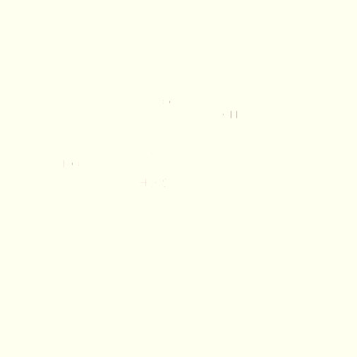 CC(=CC(=Cc1ccccc1)S(=O)(=O)O)C(=O)OCCO